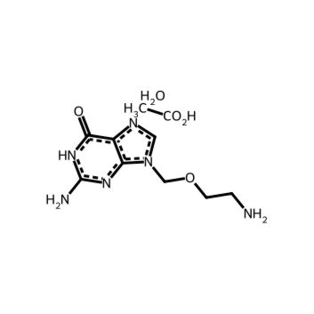 CC(=O)O.NCCOCn1cnc2c(=O)[nH]c(N)nc21.O